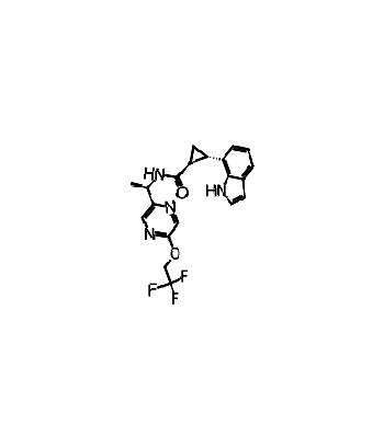 C[C@@H](NC(=O)[C@H]1C[C@@H]1c1cccc2cc[nH]c12)c1cnc(OCC(F)(F)F)cn1